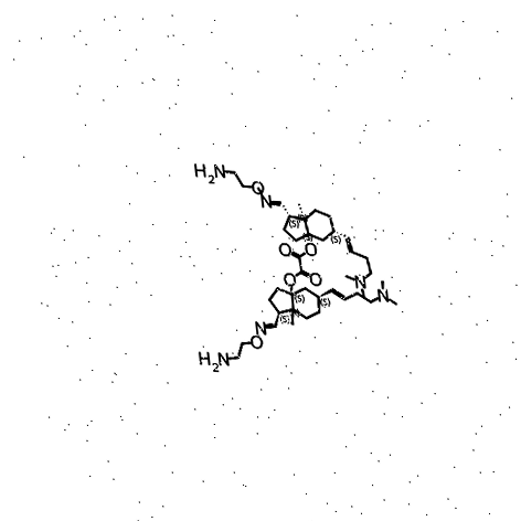 CN(C)CCC=C[C@H]1CC[C@]2(C)[C@@H](C=NOCCN)CC[C@]2(OC(=O)C(=O)O[C@]23CC[C@H](C=NOCCN)[C@@]2(C)CC[C@H](C=CCCN(C)C)C3)C1